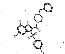 O=C(c1[nH]c2c(Cl)cc(Cl)cc2c1S(=O)(=O)c1ccc(Cl)cc1)N1CCC(Cc2ccccc2)CC1